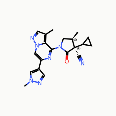 Cc1cnn2cc(-c3cnn(C)c3)nc(N3C[C@@H](C)[C@@](C#N)(C4CC4)C3=O)c12